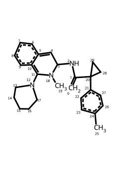 C=C(NC1C=c2ccccc2=C(N2CCCCC2)N1C)C1(c2ccc(C)cc2)CC1